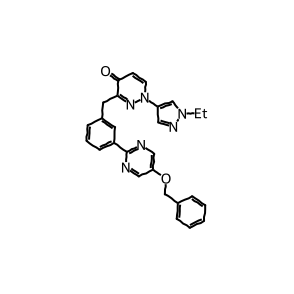 CCn1cc(-n2ccc(=O)c(Cc3cccc(-c4ncc(OCc5ccccc5)cn4)c3)n2)cn1